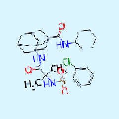 CC(C)(NS(=O)(=O)c1ccccc1Cl)C(=O)NC12CC3CC(C1)CC(C(=O)NC1CCCCC1)(C3)C2